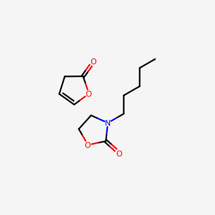 CCCCCN1CCOC1=O.O=C1CC=CO1